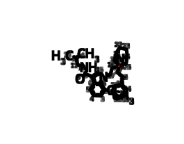 COc1cccc2c(C(=O)NCC(C)C)cn(CCCN3C4CCC3CC(CCc3ccccc3)C4)c12